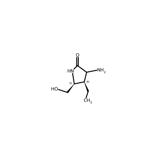 CC[C@@H]1C(N)C(=O)N[C@@H]1CO